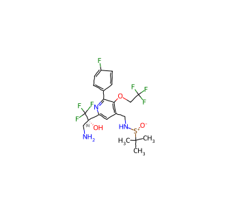 CC(C)(C)[S+]([O-])NCc1cc([C@@](O)(CN)C(F)(F)F)nc(-c2ccc(F)cc2)c1OCC(F)(F)F